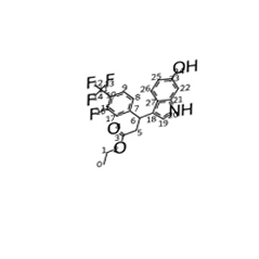 CCOC(=O)CC(c1ccc(C(F)(F)F)c(F)c1)c1c[nH]c2cc(O)ccc12